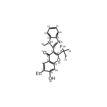 CCc1cc2c(=O)c(-c3nc4ccccc4n3C)c(C(C)(F)F)oc2cc1O